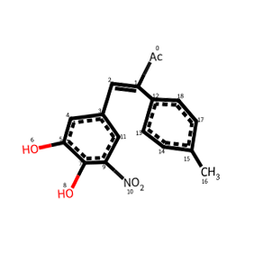 CC(=O)/C(=C/c1cc(O)c(O)c([N+](=O)[O-])c1)c1ccc(C)cc1